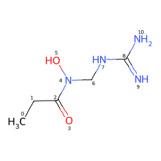 CCC(=O)N(O)CNC(=N)N